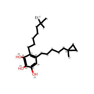 CCC(C)(C)CCCCCc1c(CCCCCC2(C)CC2)cc(O)c(O)c1O